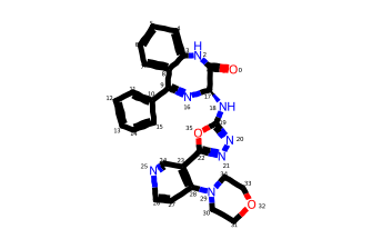 O=C1Nc2ccccc2C(c2ccccc2)=N[C@@H]1Nc1nnc(-c2cnccc2N2CCOCC2)o1